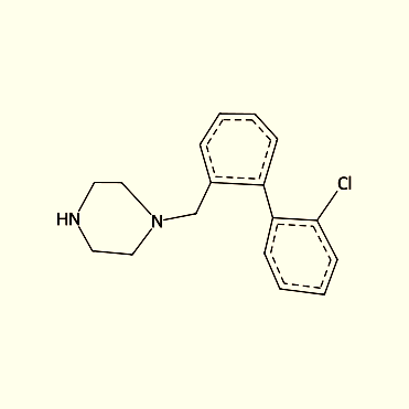 Clc1ccccc1-c1ccccc1CN1CCNCC1